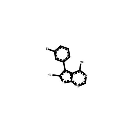 CC(C)(C)c1sc2ncnc(O)c2c1-c1cccc(F)c1